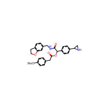 COc1ccc(CC(=O)OC(C(=O)NCc2ccc3c(c2)OCC3)c2ccc(C3CN3)cc2)cc1